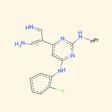 CCCNc1nc(Nc2ccccc2F)cc(/C(C=N)=C/N)n1